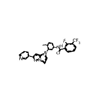 Cc1ccc(NC(=O)c2cccc(C(F)(F)F)c2F)cc1-n1ccn2nc(-c3cccnc3)cc12